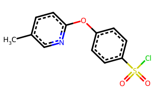 Cc1ccc(Oc2ccc(S(=O)(=O)Cl)cc2)nc1